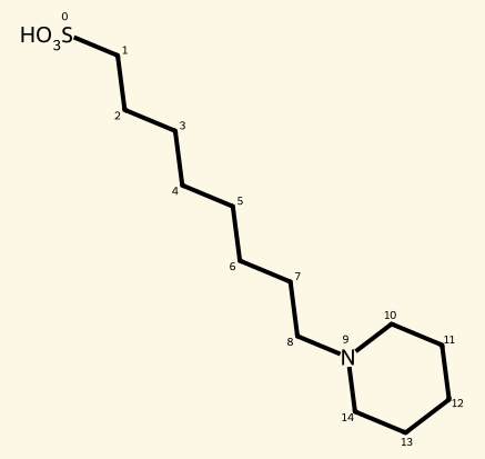 O=S(=O)(O)CCCCCCCCN1CCCCC1